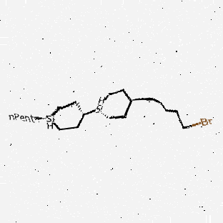 CCCCC[Si@H]1CC[C@H]([Si@H]2CC[C@H](CCCCBr)CC2)CC1